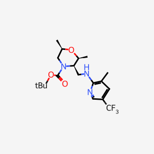 Cc1cc(C(F)(F)F)cnc1NC[C@@H]1[C@H](C)O[C@H](C)CN1C(=O)OC(C)(C)C